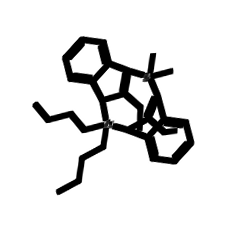 CCC[CH2][Zr]1([CH2]CCC)[CH]2C(CC)=C(c3ccccc32)[Si](C)(C)C2=C(CC)[CH]1c1ccccc12